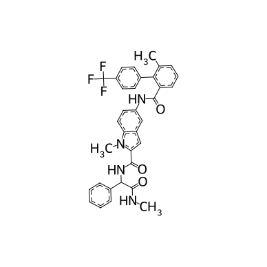 CNC(=O)C(NC(=O)c1cc2cc(NC(=O)c3cccc(C)c3-c3ccc(C(F)(F)F)cc3)ccc2n1C)c1ccccc1